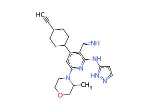 C#CC1CCC(c2cc(N3CCOCC3C)nc(Nc3ccn[nH]3)c2C=N)CC1